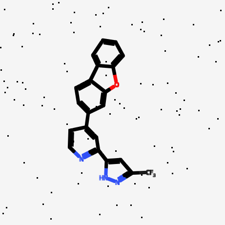 FC(F)(F)c1cc(-c2cc(-c3ccc4c(c3)oc3ccccc34)ccn2)[nH]n1